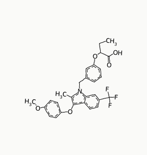 CCC(Oc1cccc(Cn2c(C)c(Oc3ccc(OC)cc3)c3ccc(C(F)(F)F)cc32)c1)C(=O)O